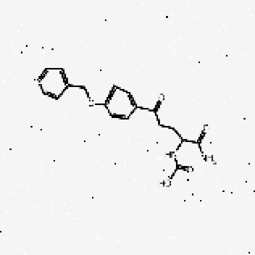 NC(=O)C(CCC(=O)c1ccc(OCc2ccccc2)cc1)NC(=O)O